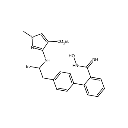 CCOC(=O)c1cn(C)nc1NC(CC)Cc1ccc(-c2ccccc2C(=N)NO)cc1